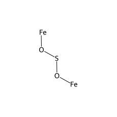 [Fe][O]S[O][Fe]